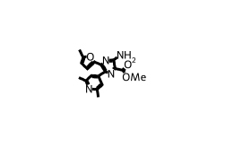 COC(=O)c1nc(-c2cc(C)nc(C)c2)c(-c2ccc(C)o2)nc1N